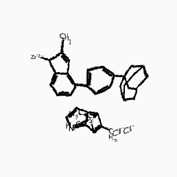 CC1=C2C3=NC=CC3=C1[Si]2(C)C.CC1=Cc2c(-c3ccc(C45CC6CC(CC(C6)C4)C5)cc3)cccc2[CH]1[Zr+2].[Cl-].[Cl-]